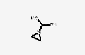 OC(O)N1CC1